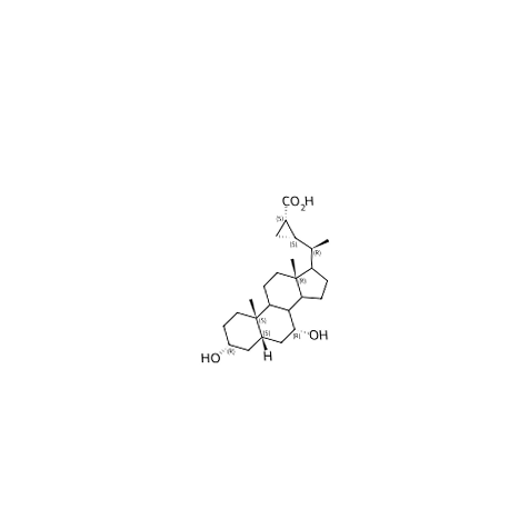 C[C@@H](C1CCC2C3C(CC[C@@]21C)[C@@]1(C)CC[C@@H](O)C[C@H]1C[C@H]3O)[C@@H]1C[C@@H]1C(=O)O